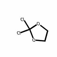 ClC1(Cl)OCCO1